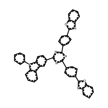 c1ccc(-n2c3ccccc3c3cc(-c4nc(-c5ccc(-c6nc7ccccc7o6)cc5)nc(-c5ccc(-c6nc7ccccc7o6)cc5)n4)ccc32)cc1